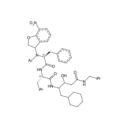 CC(=O)N(C1COc2c1cccc2[N+](=O)[O-])[C@@H](Cc1ccccc1)C(=O)N[C@@H](CC(C)C)C(=O)NC(CC1CCCCC1)C(O)CC(=O)NCC(C)C